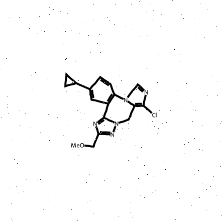 COCc1nc2n(n1)Cc1c(Cl)ncn1-c1ccc(C3CC3)cc1-2